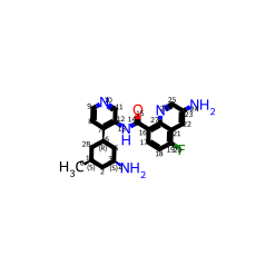 C[C@@H]1C[C@H](N)C[C@H](c2ccncc2NC(=O)c2ccc(F)c3cc(N)cnc23)C1